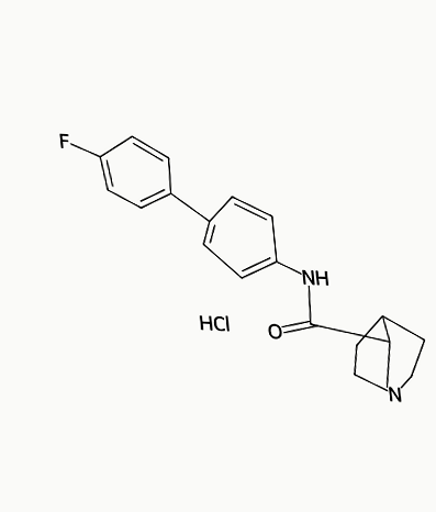 Cl.O=C(Nc1ccc(-c2ccc(F)cc2)cc1)C1CN2CCC1CC2